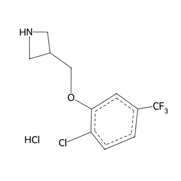 Cl.FC(F)(F)c1ccc(Cl)c(OCC2CNC2)c1